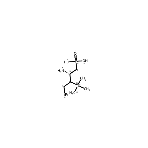 CC(C)CC([C@H](N)CP(=O)(O)O)[N+](C)(C)C